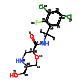 CC(C)(NC(=O)[C@@H]1CN[C@H](CO)CO1)c1cc(Cl)cc(Cl)c1F